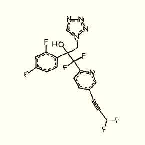 OC(Cn1cnnn1)(c1ccc(F)cc1F)C(F)(F)c1ccc(C#CC(F)F)cn1